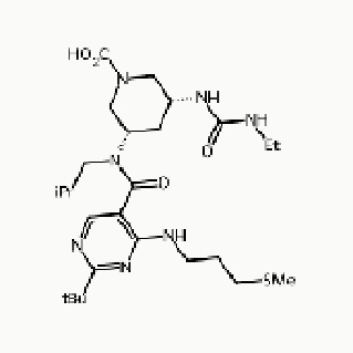 CCNC(=O)N[C@@H]1C[C@H](N(CC(C)C)C(=O)c2cnc(C(C)(C)C)nc2NCCCSC)CN(C(=O)O)C1